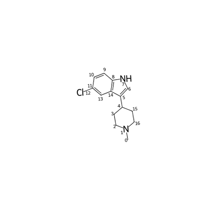 CN1CCC(c2c[nH]c3ccc(Cl)cc23)CC1